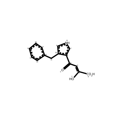 O=C(O)C(O)=CC(=O)c1c[nH]cc1Cc1ccccc1